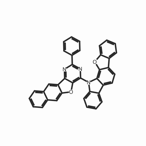 c1ccc(-c2nc(-n3c4ccccc4c4ccc5c6ccccc6oc5c43)c3oc4cc5ccccc5cc4c3n2)cc1